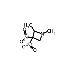 CC1N(C)CC1([N+](=O)[O-])[N+](=O)[O-]